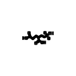 O=C(O)CCC(CCS(=O)(=O)O)C(=O)O